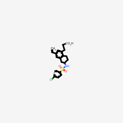 C=Cc1cc(CCC(=O)O)c2c(c1)CC(NS(=O)(=O)c1ccc(Cl)cc1)CC2